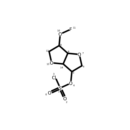 O=S(=O)(Cl)OC1COC2C(OF)COC12